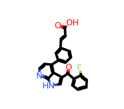 O=C(O)/C=C/c1cccc(-c2ccnc3[nH]cc(C(=O)c4ccccc4F)c23)c1